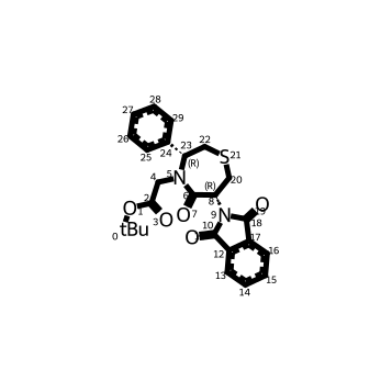 CC(C)(C)OC(=O)CN1C(=O)[C@@H](N2C(=O)c3ccccc3C2=O)CSC[C@H]1c1ccccc1